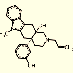 C=CCN1CC[C@@]2(c3cccc(O)c3)Cc3c(c4ccccc4n3C)C[C@]2(O)C1